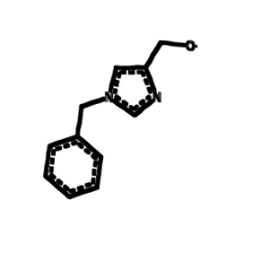 [O]Cc1cn(Cc2ccccc2)cn1